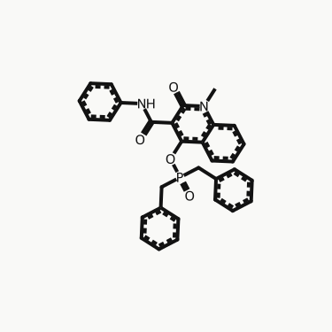 Cn1c(=O)c(C(=O)Nc2ccccc2)c(OP(=O)(Cc2ccccc2)Cc2ccccc2)c2ccccc21